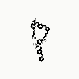 CCCCSc1ncc2[nH]c(=O)n(Cc3cccc(CN4CCC(CCCC[S+]([O-])c5ncc6[nH]c(=O)n(Cc7cccc(CN8CCCC8)c7)c6n5)C4)c3)c2n1